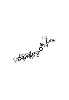 C/C(=N\NC(=O)c1ccc(C(=O)NCc2ccc(C(=O)NCCN(CCO)CCO)cc2)s1)c1csc(-c2ccc(Cl)c(Cl)c2)c1O